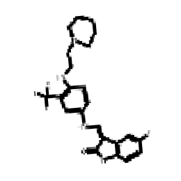 O=C1Nc2ccc(F)cc2C1=CNc1ccc(NCCN2CCCCC2)c(C(F)(F)F)c1